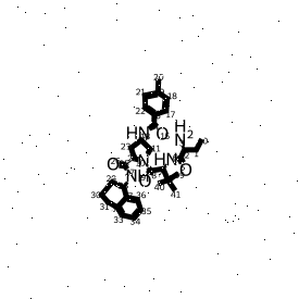 CC[C@H](N)C(=O)N[C@H](C(=O)N1C[C@@H](NC(=O)c2ccc(C)cc2)C[C@H]1C(=O)N[C@@H]1CCCc2ccccc21)C(C)(C)C